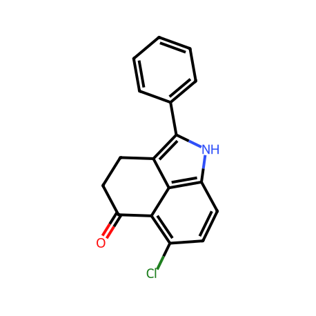 O=C1CCc2c(-c3ccccc3)[nH]c3ccc(Cl)c1c23